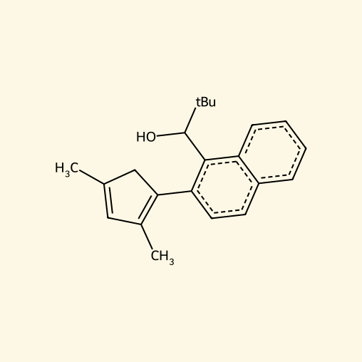 CC1=CC(C)=C(c2ccc3ccccc3c2C(O)C(C)(C)C)C1